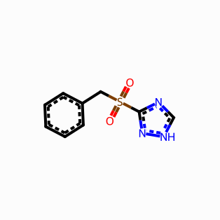 O=S(=O)(Cc1ccccc1)c1nc[nH]n1